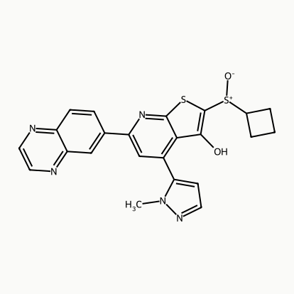 Cn1nccc1-c1cc(-c2ccc3nccnc3c2)nc2sc([S+]([O-])C3CCC3)c(O)c12